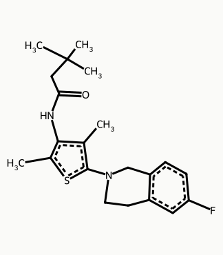 Cc1sc(N2CCc3cc(F)ccc3C2)c(C)c1NC(=O)CC(C)(C)C